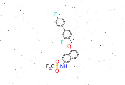 O=S(=O)(Nc1ccc2c(OCc3ccc(-c4ccc(F)cc4)cc3F)cccc2c1)C(F)(F)F